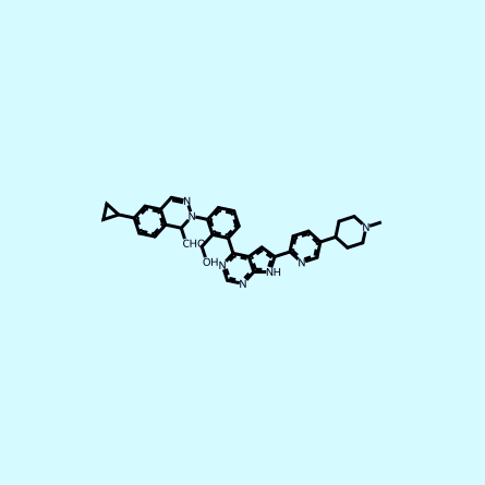 CN1CCC(c2ccc(-c3cc4c(-c5cccc(N6N=Cc7cc(C8CC8)ccc7C6C=O)c5CO)ncnc4[nH]3)nc2)CC1